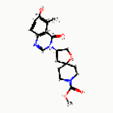 CC(C)(C)OC(=O)N1CCC2(CC1)C[C@@H](n1cnc3ccc(O)c([N+](=O)[O-])c3c1=O)CO2